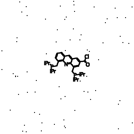 CC(C)P(Cc1cccc2cc3cc(C(=O)Cl)cc(CP(C(C)C)C(C)C)c3nc12)C(C)C